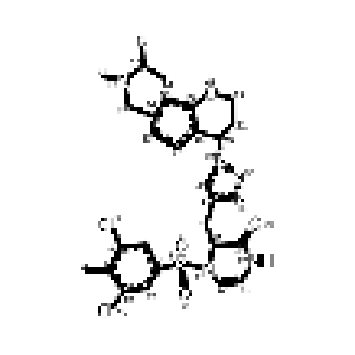 Cc1c(Cl)cc(S(=O)(=O)N2C=CNC(=O)C2Cc2cn(C3CCOc4cc(CN(C)C(C)C)ccc43)nn2)cc1Cl